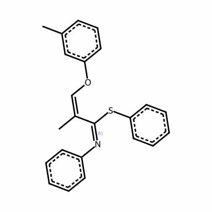 CC(=COc1cccc(C)c1)/C(=N\c1ccccc1)Sc1ccccc1